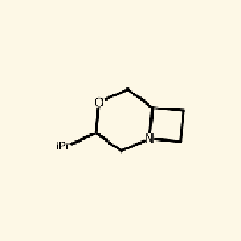 CC(C)C1CN2CCC2CO1